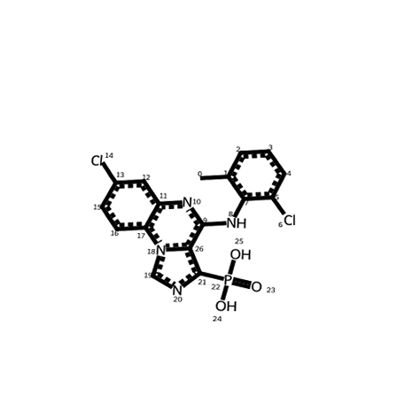 Cc1cccc(Cl)c1Nc1nc2cc(Cl)ccc2n2cnc(P(=O)(O)O)c12